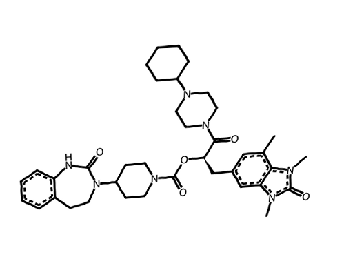 Cc1cc(C[C@@H](OC(=O)N2CCC(N3CCc4ccccc4NC3=O)CC2)C(=O)N2CCN(C3CCCCC3)CC2)cc2c1n(C)c(=O)n2C